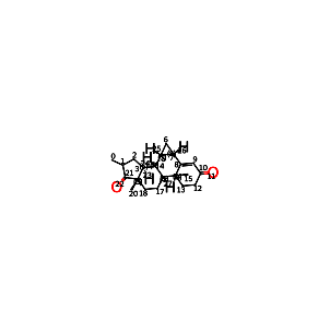 CC1C[C@H]2[C@@H]3[C@@H]4C[C@@H]4C4=CC(=O)CC[C@]4(C)[C@H]3CC[C@]2(C)C1=O